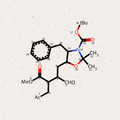 COC(=O)C(CC(C)=O)C(C=O)CC1OC(C)(C)N(C(=O)OC(C)(C)C)C1Cc1ccccc1